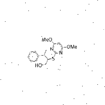 COc1cc(OC)nc(SC(CO)C(C)c2ccccc2)n1